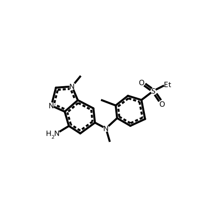 CCS(=O)(=O)c1ccc(N(C)c2cc(N)c3ncn(C)c3c2)c(C)c1